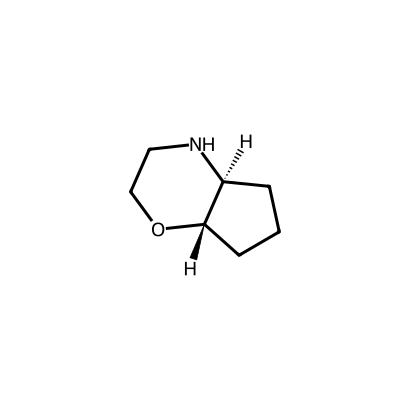 C1C[C@@H]2NCCO[C@H]2C1